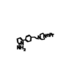 C[CH]CN1CCN(CCc2ccc(-c3cccc(N)n3)cc2)CC1